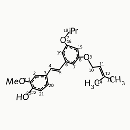 COc1cc(C=Cc2cc(OCC=C(C)C)cc(OC(C)C)c2)ccc1O